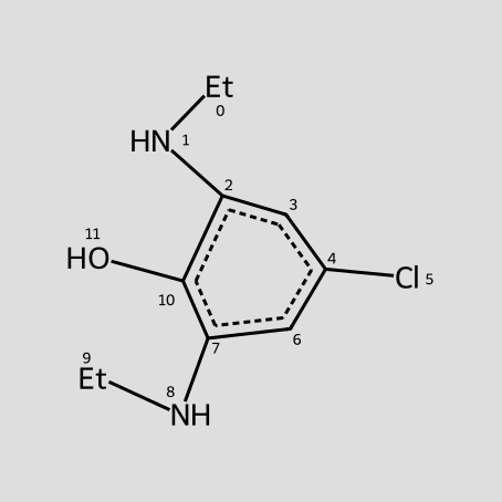 CCNc1cc(Cl)cc(NCC)c1O